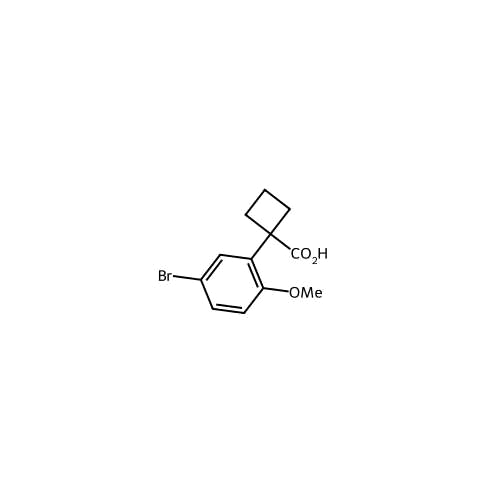 COc1ccc(Br)cc1C1(C(=O)O)CCC1